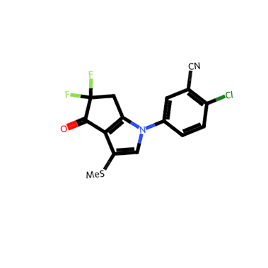 CSc1cn(-c2ccc(Cl)c(C#N)c2)c2c1C(=O)C(F)(F)C2